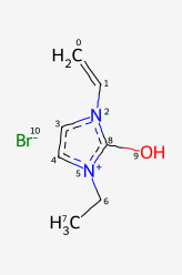 C=Cn1cc[n+](CC)c1O.[Br-]